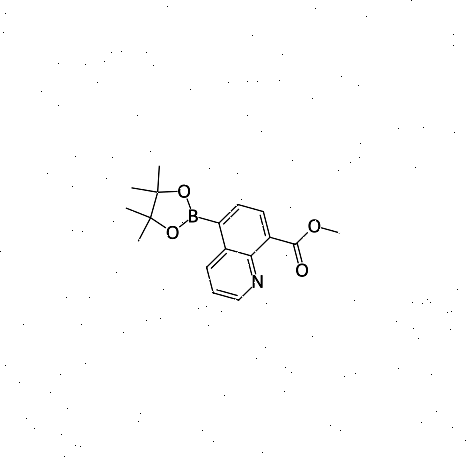 COC(=O)c1ccc(B2OC(C)(C)C(C)(C)O2)c2cccnc12